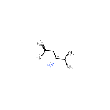 C=C(C)C[C@@H](N)C(C)C